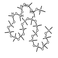 C[SiH](O[SiH](C)O[SiH](C)O[Si](C)(C)C)O[SiH](C)O[SiH](C)O[Si](C)(C)O[Si](C)(C)O[Si](C)(C)O[Si](C)(C)O[Si](C)(C)O[Si](C)(C)O[Si](C)(C)O[Si](C)(C)O[Si](C)(C)O[Si](C)(C)O[Si](C)(C)O[Si](C)(C)O[Si](C)(C)O[Si](C)(C)C